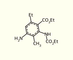 CCOC(=O)Nc1c(C)c(N)cc(CC)c1C(=O)OCC